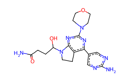 NC(=O)CCC(O)N1CCc2c(-c3cnc(N)nc3)nc(N3CCOCC3)nc21